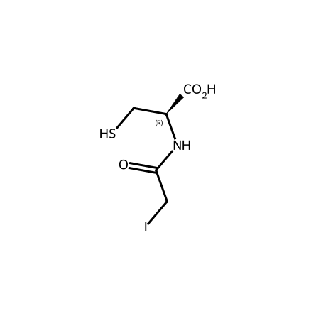 O=C(CI)N[C@@H](CS)C(=O)O